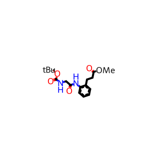 COC(=O)CCc1ccccc1NC(=O)CNC(=O)OC(C)(C)C